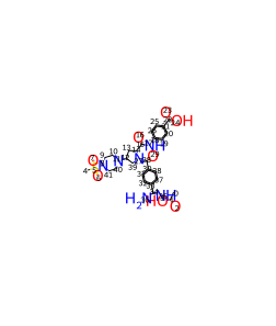 CC(=O)O.CS(=O)(=O)N1CCN([C@H]2C[C@@H](C(=O)Nc3ccc(C(=O)O)cc3)N(C(=O)c3ccc(C(=N)N)cc3)C2)CC1